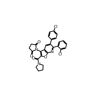 O=C(c1oc2nc(-c3ccccc3Cl)c(-c3ccc(Cl)cc3)cc2c1N1C(=O)CCC1=O)N1CCCC1